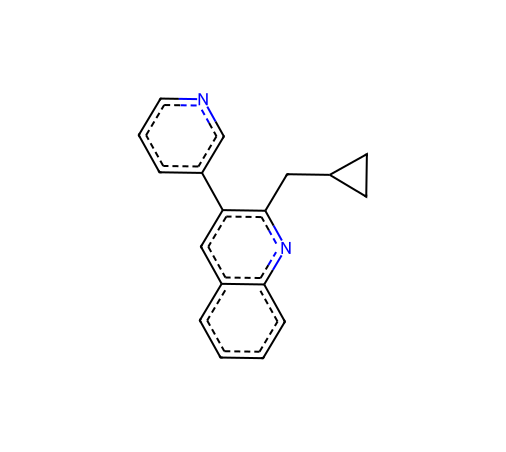 c1cncc(-c2cc3ccccc3nc2CC2CC2)c1